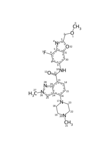 COCc1nc2c(F)cc(NC(=O)c3ccc(N4CCN(C)CC4)c4cn(C)nc34)cc2o1